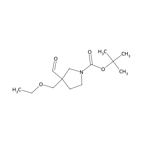 CCOCC1(C=O)CCN(C(=O)OC(C)(C)C)C1